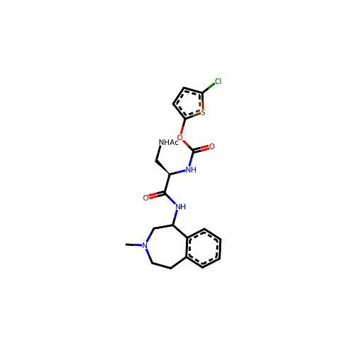 CC(=O)NC[C@@H](NC(=O)Oc1ccc(Cl)s1)C(=O)NC1CN(C)CCc2ccccc21